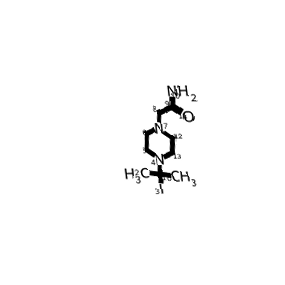 CC(C)(I)N1CCN(CC(N)=O)CC1